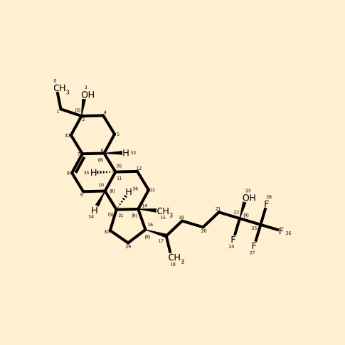 CC[C@]1(O)CC[C@H]2C(=CC[C@@H]3[C@@H]2CC[C@]2(C)[C@@H](C(C)CCC[C@@](O)(F)C(F)(F)F)CC[C@@H]32)C1